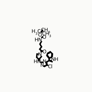 CC(C)(C)OC(=O)NCCCCC(=O)N1CCC(Nc2ncc(Cl)c(-c3c[nH]c4ccccc34)n2)C1